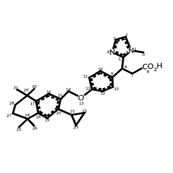 Cn1ccnc1C(CC(=O)O)c1ccc(OCc2cc3c(cc2C2CC2)C(C)(C)CCC3(C)C)cc1